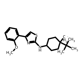 [CH2]C1(C(C)(C)C)CCC(Nc2nc(-c3ccccc3OC)cs2)CC1